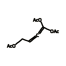 CC(=O)OCC=C=C(OC(C)=O)OC(C)=O